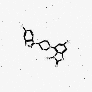 CCCn1c(=O)oc2cc(C(C)=O)cc(N3CCC(c4noc5cc(F)ccc45)CC3)c21